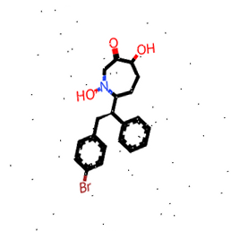 O=C1CN(O)C([C@H](Cc2ccc(Br)cc2)c2ccccc2)CCC1O